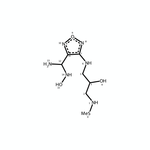 CSNCC(O)CNc1nonc1C(N)NO